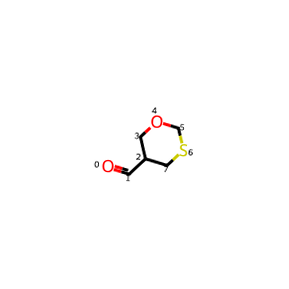 O=CC1COCSC1